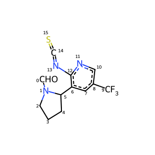 O=CN1CCCC1c1cc(C(F)(F)F)cnc1N=C=S